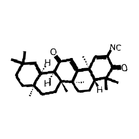 [C-]#[N+]C1=C[C@]2(C)C3=CC(=O)[C@@H]4[C@@H]5CC(C)(C)CC[C@]5(C)CC[C@@]4(C)[C@]3(C)CC[C@H]2C(C)(C)C1=O